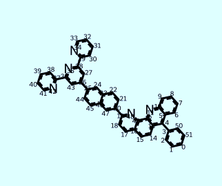 c1ccc(-c2c3ccccc3nc3c2ccc2ccc(-c4ccc5cc(-c6cc(-c7ccccn7)nc(-c7ccccn7)c6)ccc5c4)nc23)cc1